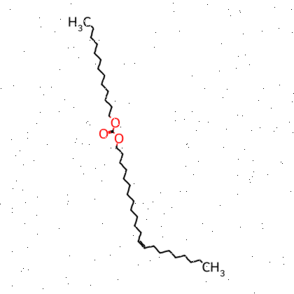 CCCCCCCC/C=C\CCCCCCCCCCCCOC(=O)OCCCCCCCCCCCCC